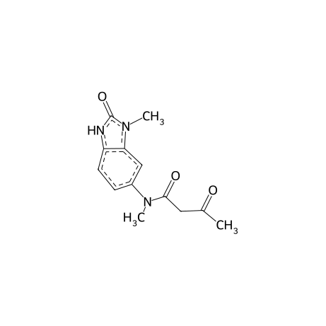 CC(=O)CC(=O)N(C)c1ccc2[nH]c(=O)n(C)c2c1